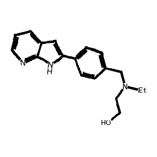 CCN(CCO)Cc1ccc(-c2cc3cccnc3[nH]2)cc1